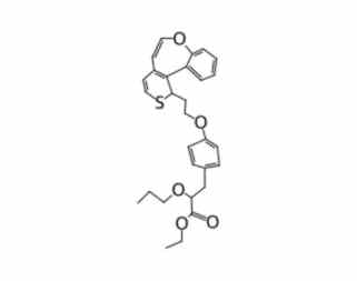 CCCOC(Cc1ccc(OCCC2SC=CC3=C2c2ccccc2OC=C3)cc1)C(=O)OCC